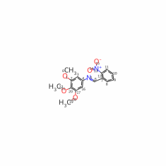 COc1cc(N=Cc2ccccc2[N+](=O)[O-])cc(OC)c1OC